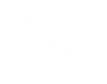 COc1cc2c(cc1OC)C(Cc1ccccc1)N(CC(=O)NC1CCc3ccccc31)CC2